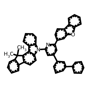 CC1(C)c2ccccc2-c2ccc3c(c21)c1ccccc1n3-c1cc(-c2cccc(-c3ccccc3)c2)cc(-c2ccc3c(c2)oc2ccccc23)n1